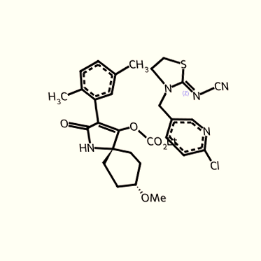 CCOC(=O)OC1=C(c2cc(C)ccc2C)C(=O)N[C@]12CC[C@@H](OC)CC2.N#C/N=C1\SCCN1Cc1ccc(Cl)nc1